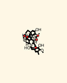 COc1cc2c(cc1O)CCN[C@@]21CS[C@@H]2c3c(OC(C)=O)c(C)c4c(c3[C@H](COC1=O)N1[C@@H]2C2c3c(cc(C)c(OC)c3O)CC1(O)CN2C)OCO4